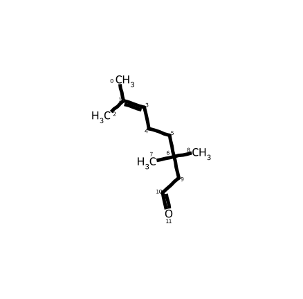 CC(C)=CCCC(C)(C)CC=O